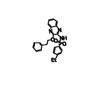 CCc1ccc(S(=O)(=O)Nc2nc3ccccc3nc2OCCc2ccccc2)cc1